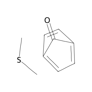 CSC.O=C1C2=CC=C1C=C2